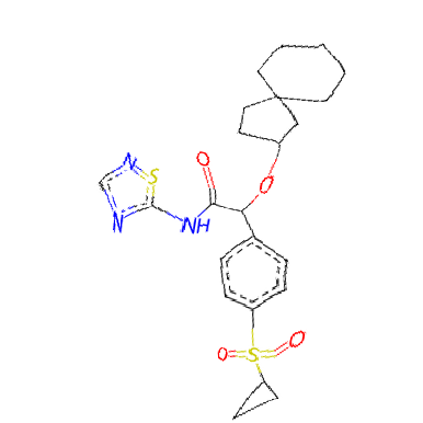 O=C(Nc1ncns1)C(OC1CCC2(CCCCC2)C1)c1ccc(S(=O)(=O)C2CC2)cc1